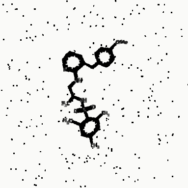 COc1ccc(Cc2cccnc2NCC(NS(=O)(=O)c2c(C)cc(C)cc2C)C(F)(F)F)cc1